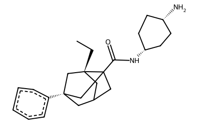 CC[C@]12CC3CC1(C(=O)N[C@H]1CC[C@@H](N)CC1)C[C@@](c1ccccc1)(C3)C2